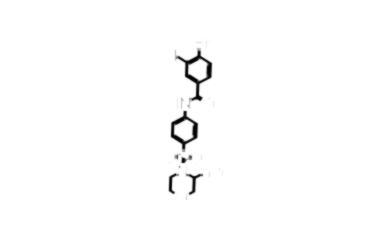 CCCC1COCCN1S(=O)(=O)c1ccc(NC(=O)c2ccc(Br)c(I)c2)cc1